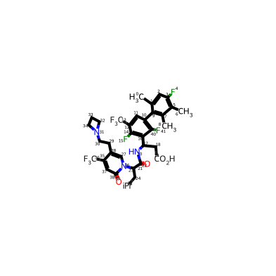 Cc1cc(F)c(C)c(C)c1-c1cc(C(F)(F)F)c(F)c(C(CC(=O)O)NC(=O)C(CC(C)C)n2cc(CCN3CCC3)c(C(F)(F)F)cc2=O)c1F